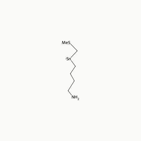 CS[CH2][Sn][CH2]CCCN